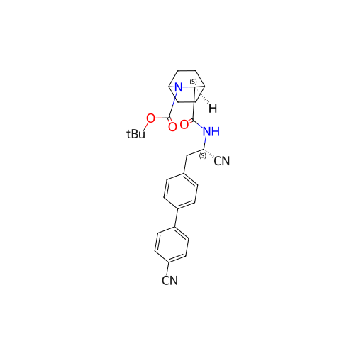 CC(C)(C)OC(=O)N1C2CCC(CC2)[C@H]1C(=O)N[C@H](C#N)Cc1ccc(-c2ccc(C#N)cc2)cc1